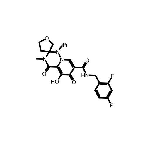 CC(C)N1n2cc(C(=O)NCc3ccc(F)cc3F)c(=O)c(O)c2C(=O)N(C)C12CCOC2